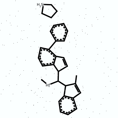 C1CC[SiH2]C1.[CH3][Hf][CH](C1C=Cc2c(-c3ccccc3)cccc21)C1C(C)=Cc2ccccc21